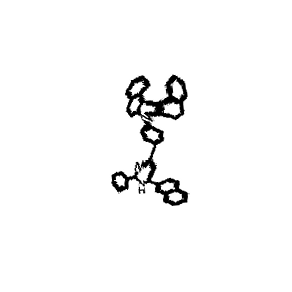 C1=C(c2ccc3ccccc3c2)NC(c2ccccc2)N=C1c1ccc(-n2c3ccc4ccccc4c3c3c4ccccc4ccc32)cc1